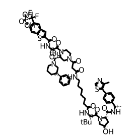 Cc1ncsc1-c1ccc([C@H](C)NC(=O)[C@@H]2C[C@@H](O)CN2C(=O)[C@@H](NC(=O)CCCCCCNC(=O)CC(=O)N2CCN(C(=O)[C@@H](NC(=O)c3cc4cc(C(F)(F)P(=O)(O)O)ccc4s3)C(C)(C)C)[C@H](C(=O)N3CCC[C@H](c4ccccc4)C3)C2)C(C)(C)C)cc1